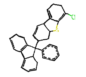 ClC1=C2SC3CC(C4(c5ccccc5)C5=C(C=CCC5)C5=CC=CCC54)C=CC3C2=CCC1